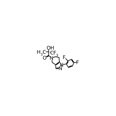 C[C@@](O)(C(=O)N1CCc2c(cnn2-c2ccc(F)cc2F)C1)C(F)(F)F